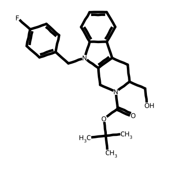 CC(C)(C)OC(=O)N1Cc2c(c3ccccc3n2Cc2ccc(F)cc2)CC1CO